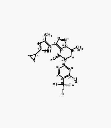 Cc1nc(C2CC2)[nH]c1-c1cnn2c1C(=O)N(c1ccc(C(F)(F)F)c(Cl)c1)CC2C